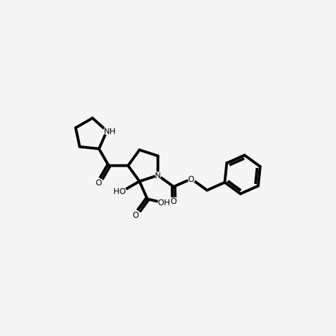 O=C(C1CCCN1)C1CCN(C(=O)OCc2ccccc2)C1(O)C(=O)O